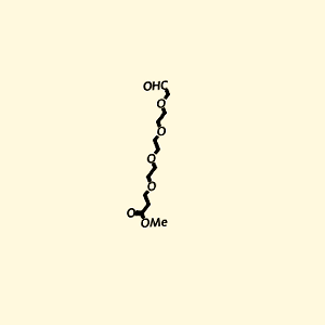 COC(=O)CCOCCOCCOCCOCC=O